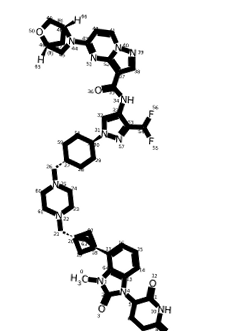 Cn1c(=O)n(C2CCC(=O)NC2=O)c2cccc([C@]34C[C@@](CN5CCN(C[C@H]6CC[C@H](n7cc(NC(=O)c8cnn9ccc(N%10C[C@H]%11C[C@@H]%10CO%11)nc89)c(C(F)F)n7)CC6)CC5)(C3)C4)c21